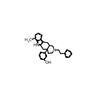 Cc1cccc2c3c([nH]c12)CC1(c2cccc(O)c2)CCN(CCc2ccccc2)CC1C3